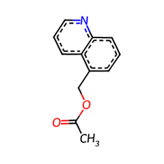 CC(=O)OCc1cccc2ncccc12